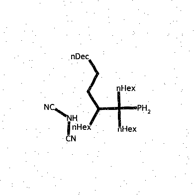 CCCCCCCCCCCCC(CCCCCC)C(P)(CCCCCC)CCCCCC.N#CNC#N